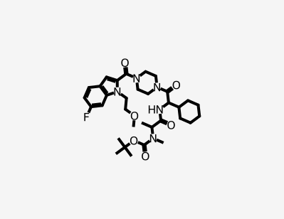 COCCn1c(C(=O)N2CCN(C(=O)C(NC(=O)C(C)N(C)C(=O)OC(C)(C)C)C3CCCCC3)CC2)cc2ccc(F)cc21